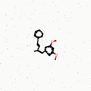 COc1cc(C=C(C)C=Cc2ccccc2)cc(OC)c1